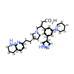 O=C(O)CC(CN1CC[C@@H](CCc2ccc3c(n2)NCCC3)C1)c1cc(-c2cn[nH]c2)cc(N2CCCCC2)c1